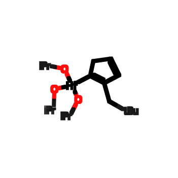 CC(C)[O][Hf]([O]C(C)C)([O]C(C)C)[C]1=C(CC(C)(C)C)C=CC1